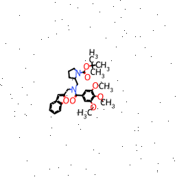 COc1cc(C(=O)N(Cc2cc3ccccc3o2)CC2CCCN2C(=O)OC(C)(C)C)cc(OC)c1OC